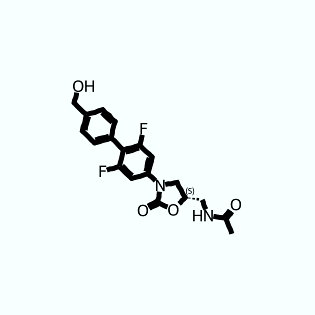 CC(=O)NC[C@H]1CN(c2cc(F)c(-c3ccc(CO)cc3)c(F)c2)C(=O)O1